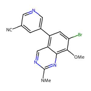 CNc1ncc2c(-c3cncc(C#N)c3)cc(Br)c(OC)c2n1